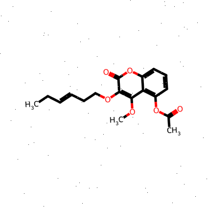 CC/C=C/CCOc1c(OC)c2c(OC(C)=O)cccc2oc1=O